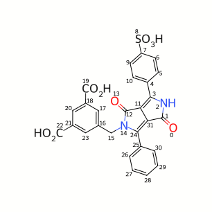 O=C1NC(c2ccc(S(=O)(=O)O)cc2)=C2C(=O)N(Cc3cc(C(=O)O)cc(C(=O)O)c3)C(c3ccccc3)=C12